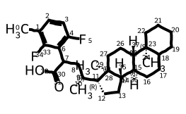 Cc1ccc(F)c(C(C[C@@H](C)[C@H]2CC[C@H]3[C@@H]4CCC5CCCC[C@]5(C)[C@H]4CC[C@]23C)C(=O)O)c1F